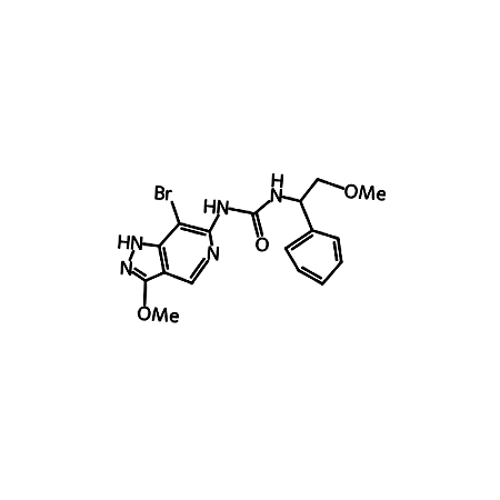 COCC(NC(=O)Nc1ncc2c(OC)n[nH]c2c1Br)c1ccccc1